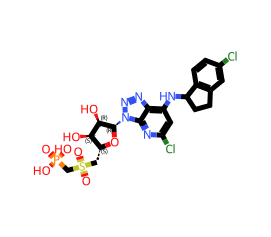 O=P(O)(O)CS(=O)(=O)C[C@H]1O[C@@H](n2nnc3c(NC4CCc5cc(Cl)ccc54)cc(Cl)nc32)[C@H](O)[C@@H]1O